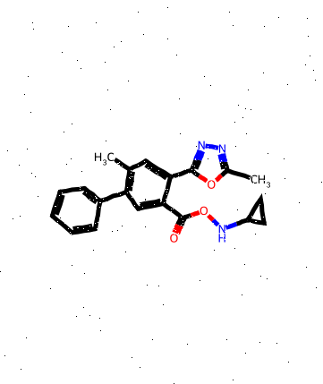 Cc1nnc(-c2cc(C)c(-c3ccccc3)cc2C(=O)ONC2CC2)o1